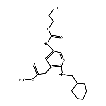 CCCOC(=O)Nc1cnc(NCC2CCCCC2)c(CC(=O)OC)c1